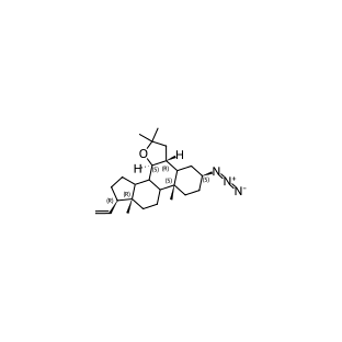 C=C[C@H]1CCC2C3C(CC[C@@]21C)[C@@]1(C)CC[C@H](N=[N+]=[N-])CC1[C@H]1CC(C)(C)O[C@H]31